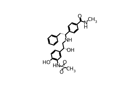 CNC(=O)c1ccc([C@@H](Cc2ccccc2)NC[C@H](O)c2ccc(O)c(NS(C)(=O)=O)c2)cc1